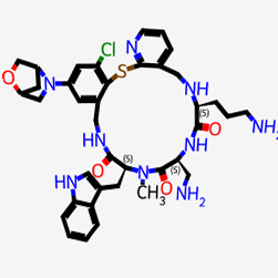 CN1C(=O)[C@H](CN)NC(=O)[C@H](CCCN)NCc2cccnc2Sc2c(Cl)cc(N3CC4CC3CO4)cc2CNC(=O)[C@@H]1Cc1c[nH]c2ccccc12